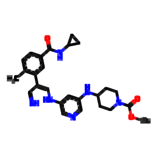 Cc1ccc(C(=O)NC2CC2)cc1/C(C=N)=C/Nc1cncc(NC2CCN(C(=O)OC(C)(C)C)CC2)c1